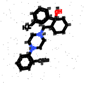 COc1ccccc1N1CCN(CC2CCCCC2(O)c2cccc(C)c2)CC1